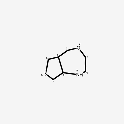 C1COCC2CSCC2N1